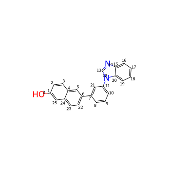 Oc1ccc2cc(-c3cccc(-n4cnc5ccccc54)c3)ccc2c1